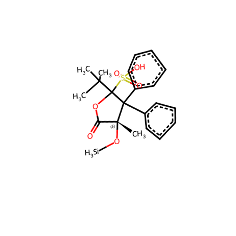 CC(C)(C)C1(S(=O)(=O)O)OC(=O)[C@@](C)(O[SiH3])C1(c1ccccc1)c1ccccc1